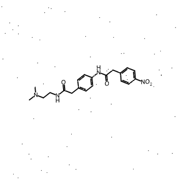 CN(C)CCNC(=O)Cc1ccc(NC(=O)Cc2ccc([N+](=O)[O-])cc2)cc1